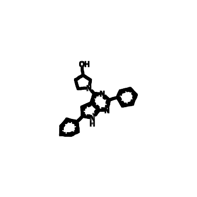 OC1CCN(c2nc(-c3ccccc3)nc3[nH]c(-c4ccccc4)cc23)C1